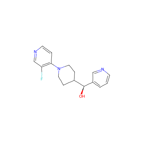 O[C@H](c1cccnc1)C1CCN(c2ccncc2F)CC1